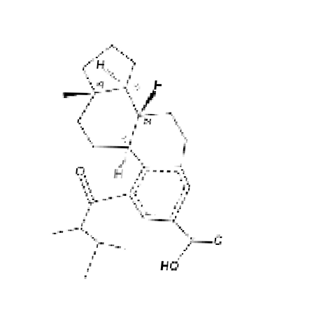 CC(C)C(C)C(=O)c1cc(C(=O)O)cc2c1[C@H]1CC[C@]3(C)CCC[C@H]3[C@@H]1CC2